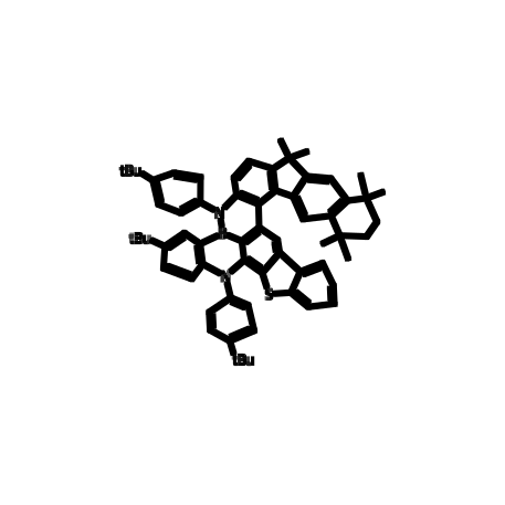 CC(C)(C)c1ccc(N2B3c4cc(C(C)(C)C)ccc4N(c4ccc(C(C)(C)C)cc4)c4c3c(cc3c4sc4ccccc43)-c3c2ccc2c3-c3cc4c(cc3C2(C)C)C(C)(C)CCC4(C)C)cc1